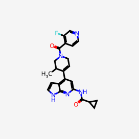 CC1CN(C(=O)c2ccncc2F)CC=C1c1cc(NC(=O)C2CC2)nc2[nH]ccc12